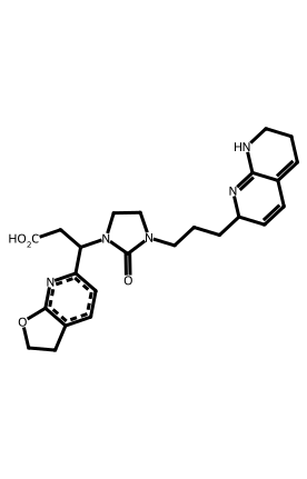 O=C(O)CC(c1ccc2c(n1)OCC2)N1CCN(CCCC2C=CC3=CCCNC3=N2)C1=O